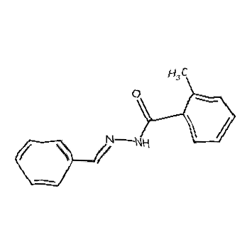 Cc1ccccc1C(=O)N/N=C/c1ccccc1